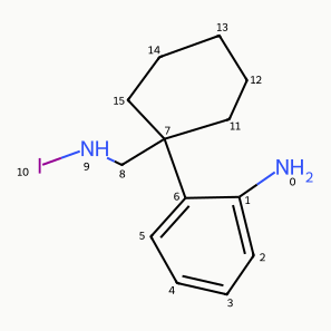 Nc1ccccc1C1(CNI)CCCCC1